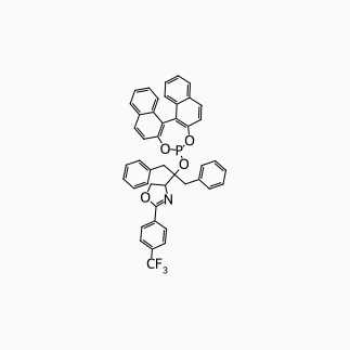 FC(F)(F)c1ccc(C2=NC(C(Cc3ccccc3)(Cc3ccccc3)Op3oc4ccc5ccccc5c4c4c(ccc5ccccc54)o3)CO2)cc1